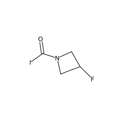 O=C(I)N1CC(F)C1